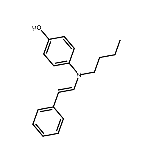 CCCCN(C=Cc1ccccc1)c1ccc(O)cc1